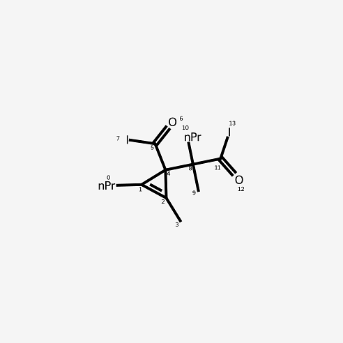 CCCC1=C(C)C1(C(=O)I)C(C)(CCC)C(=O)I